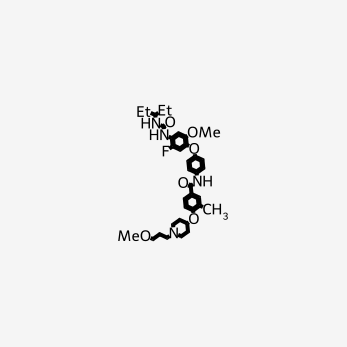 CCC(CC)NC(=O)Nc1cc(OC)c(Oc2ccc(NC(=O)c3ccc(OC4CCN(CCCOC)CC4)c(C)c3)cc2)cc1F